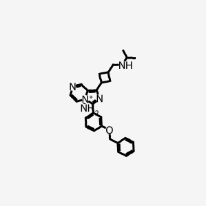 CC(C)NCC1CC(C2=C3C=NC=C[N+]3(N)C(c3cccc(OCc4ccccc4)c3)=N2)C1